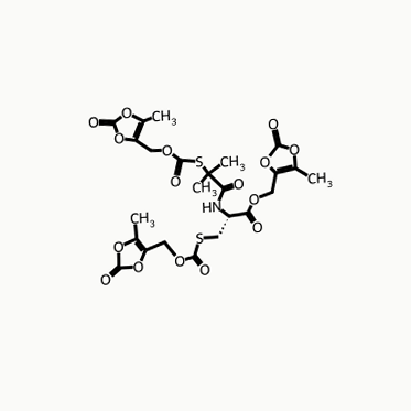 Cc1oc(=O)oc1COC(=O)SC[C@H](NC(=O)C(C)(C)SC(=O)OCc1oc(=O)oc1C)C(=O)OCc1oc(=O)oc1C